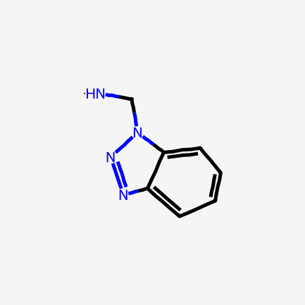 [NH]Cn1nnc2ccccc21